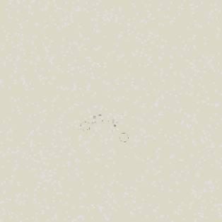 CC(CCCCCC(=O)O)OC(=O)C(C)NP(=O)(OC[C@H]1O[C@@H](n2ccc(=O)[nH]c2=O)[C@](C)(F)[C@@H]1O)Oc1ccccc1